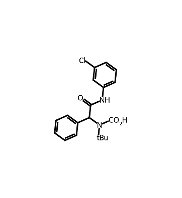 CC(C)(C)N(C(=O)O)C(C(=O)Nc1cccc(Cl)c1)c1ccccc1